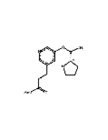 COC(=O)CCc1cncc(OC(C)[C@@H]2CCCN2)c1